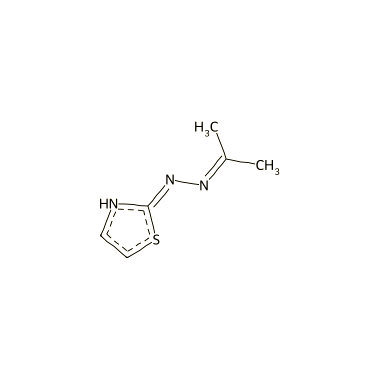 CC(C)=NN=c1[nH]ccs1